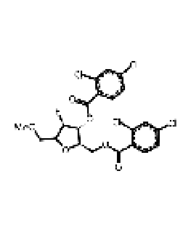 COCC1O[C@H](COC(=O)c2ccc(Cl)cc2Cl)[C@@H](OC(=O)c2ccc(Cl)cc2Cl)[C@@H]1F